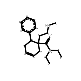 CCN(CC)C(=O)C1(CCNC)CC=CCC1c1ccccc1